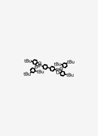 CC(C)(C)c1ccc(OPc2ccc(-c3ccc(POc4ccc(C(C)(C)C)cc4Oc4ccc(C(C)(C)C)cc4C(C)(C)C)cc3)cc2)c(Oc2ccc(C(C)(C)C)cc2C(C)(C)C)c1